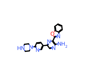 Nc1ncc(-c2ccc(N3CCNCC3)nc2)nc1-c1nc2ccccc2o1